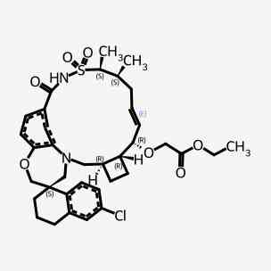 CCOC(=O)CO[C@H]1/C=C/C[C@H](C)[C@H](C)S(=O)(=O)NC(=O)c2ccc3c(c2)N(C[C@@H]2CC[C@H]21)C[C@@]1(CCCc2cc(Cl)ccc21)CO3